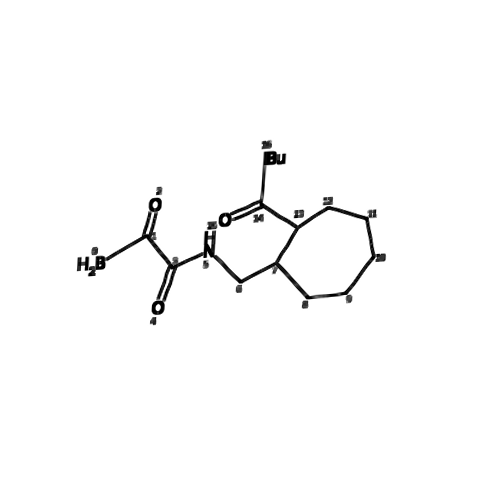 BC(=O)C(=O)NCC1CCCCCC1C(=O)C(C)CC